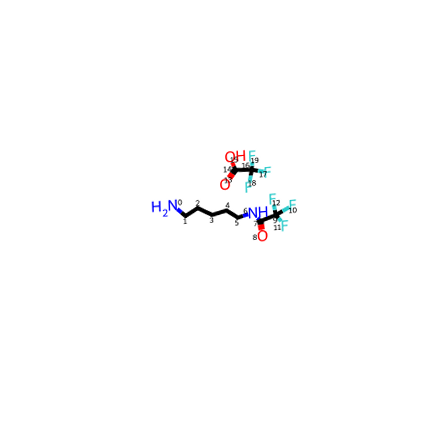 NCCCCCNC(=O)C(F)(F)F.O=C(O)C(F)(F)F